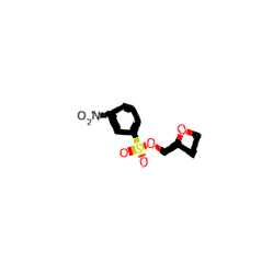 O=[N+]([O-])c1cccc(S(=O)(=O)OCC2CCO2)c1